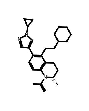 C=C(C)N1c2ccc(-c3cnn(C4CC4)c3)c(CCC3CCCCC3)c2CC[C@@H]1C